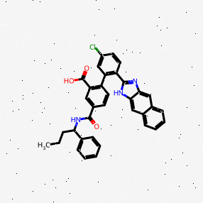 CCCC(NC(=O)c1ccc(-c2cc(Cl)ccc2-c2nc3cc4ccccc4cc3[nH]2)c(C(=O)O)c1)c1ccccc1